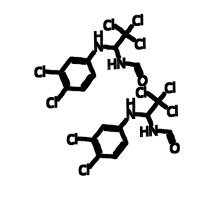 O=CNC(Nc1ccc(Cl)c(Cl)c1)C(Cl)(Cl)Cl.O=CNC(Nc1ccc(Cl)c(Cl)c1)C(Cl)(Cl)Cl